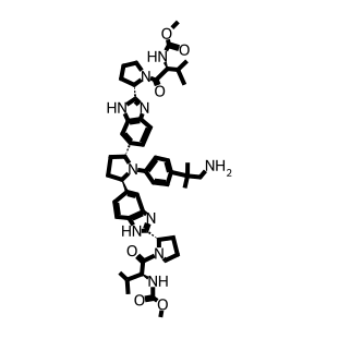 COC(=O)N[C@H](C(=O)N1CCC[C@H]1c1nc2cc([C@H]3CC[C@H](c4ccc5nc([C@@H]6CCCN6C(=O)[C@@H](NC(=O)OC)C(C)C)[nH]c5c4)N3c3ccc(C(C)(C)CN)cc3)ccc2[nH]1)C(C)C